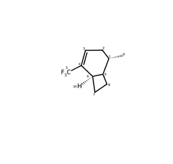 C[C@H]1CC=C(C(F)(F)F)[C@@H]2CCC12